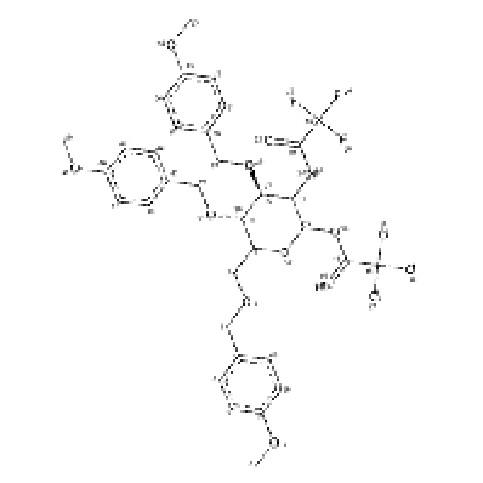 COc1ccc(COCC2OC(OC(=N)C(Cl)(Cl)Cl)C(NC(=O)C(F)(F)F)[C@H](OCc3ccc(OC)cc3)[C@H]2OCc2ccc(OC)cc2)cc1